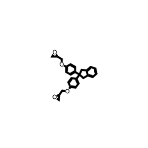 c1ccc2c(c1)CC(c1ccc(OCC3CO3)cc1)(c1ccc(OCC3CO3)cc1)C2